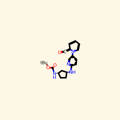 CC(C)(C)OC(=O)N[C@H]1CC[C@H](Nc2ccc(N3C=CC=CC3=C=O)cn2)C1